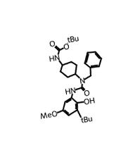 COc1cc(NC(=O)N(Cc2ccccc2)C2CCC(NC(=O)OC(C)(C)C)CC2)c(O)c(C(C)(C)C)c1